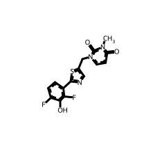 Cn1c(=O)ccn(Cc2cnc(-c3ccc(F)c(O)c3F)s2)c1=O